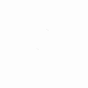 C=C=NCCN1CCOCC1